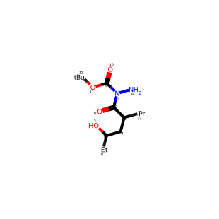 CCC(O)CC(C(=O)N(N)C(=O)OC(C)(C)C)C(C)C